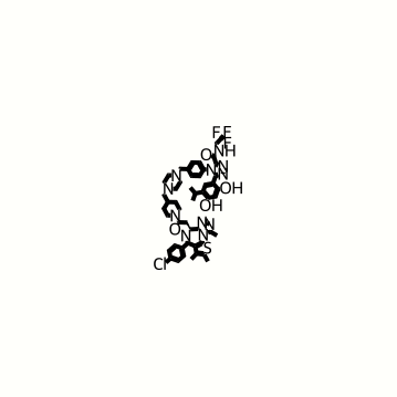 Cc1sc2c(c1C)C(c1ccc(Cl)cc1)=N[C@@H](CC(=O)N1CCC(CN3CCN(Cc4ccc(-n5c(C(=O)NCC(F)(F)F)nnc5-c5cc(C(C)C)c(O)cc5O)cc4)CC3)CC1)c1nnc(C)n1-2